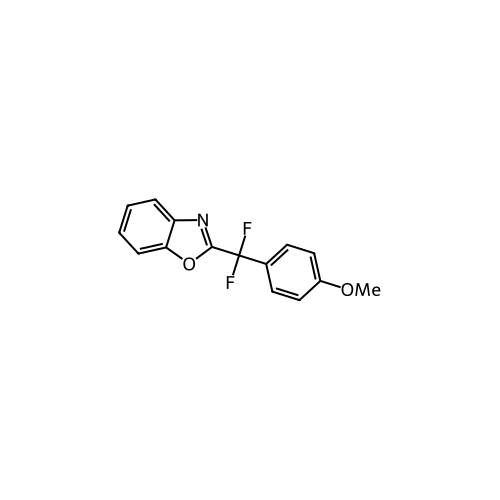 COc1ccc(C(F)(F)c2nc3ccccc3o2)cc1